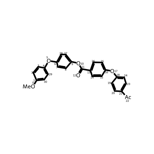 COc1ccc(Oc2ccc(OC(=O)c3ccc(Oc4ccc(C(C)=O)cc4)cc3)cc2)cc1